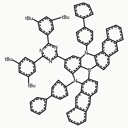 CC(C)(C)c1cc(-c2nc(-c3cc(C(C)(C)C)cc(C(C)(C)C)c3)nc(-c3cc4c5c(c3)N(c3ccc(-c6ccccc6)cc3)c3c(ccc6cc7ccccc7cc36)B5c3ccc5cc6ccccc6cc5c3N4c3ccc(-c4ccccc4)cc3)n2)cc(C(C)(C)C)c1